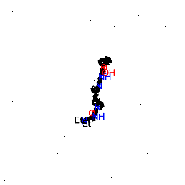 C\C=C/C(C=Cc1ccc2c(c1)CCCN2CCC(=O)NC(C)CCCN(CC)CC)=C\C=N\CCCNCC(O)COc1cccc2ccccc12